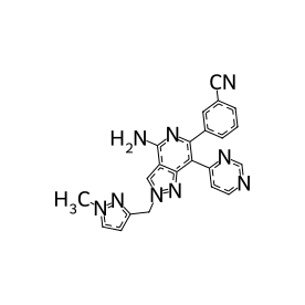 Cn1ccc(Cn2cc3c(N)nc(-c4cccc(C#N)c4)c(-c4ccncn4)c3n2)n1